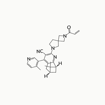 C=CC(=O)N1CC2(CCN(c3nc4c(c(-c5cnccc5C)c3C#N)C[C@H]3C[C@@H]4C3(C)C)C2)C1